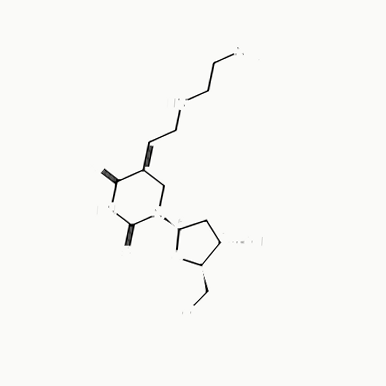 NCCNCC=C1CN([C@H]2C[C@H](O)[C@@H](CO)O2)C(=O)NC1=O